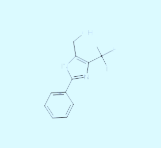 OCc1[nH]c(-c2ccccc2)nc1C(F)(F)F